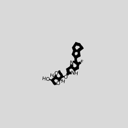 O[C@@H]1CO[C@H]2[C@@H]1OC[C@H]2Oc1cc2nc(C3=Cc4ccccc4C3)c(F)cc2[nH]1